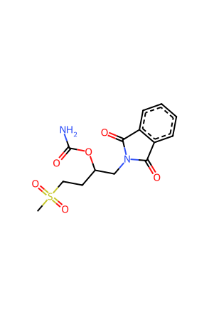 CS(=O)(=O)CCC(CN1C(=O)c2ccccc2C1=O)OC(N)=O